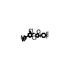 Cn1cc(-c2cc(Cl)c(C[C@@H]3CCN(C4CCC(F)(F)CC4)C3=O)c(Cl)c2)cn1